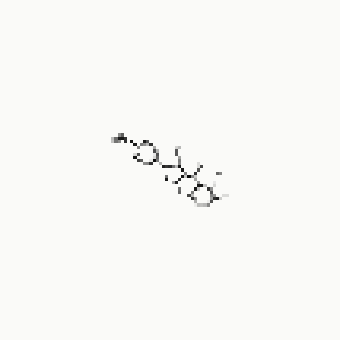 CCCc1ccc(C2=C(F)C3=C(F)c4c(ccc(F)c4F)CC3C2)cc1